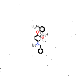 CCOC1(S(=O)(=O)O)CC(N(CC)Cc2ccccc2)=CC=C1Oc1ccccc1[N+](=O)[O-]